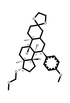 COCO[C@H]1CC[C@H]2[C@@H]3[C@H](c4ccc(OC)cc4)CC4CC5(CC[C@]4(C)[C@H]3CC[C@]12C)OCCO5